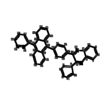 c1ccc(-c2nc3ccccc3nc2-c2ccc(-c3c4ccccc4c(-c4cccnn4)c4ccccc34)cc2)cc1